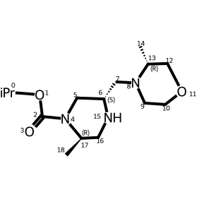 CC(C)OC(=O)N1C[C@H](CN2CCOC[C@H]2C)NC[C@H]1C